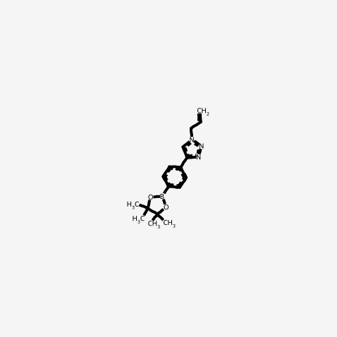 C=CCn1cc(-c2ccc(B3OC(C)(C)C(C)(C)O3)cc2)nn1